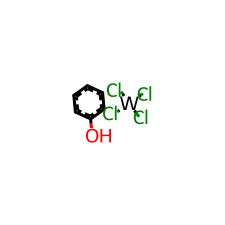 Oc1ccccc1.[Cl][W]([Cl])([Cl])[Cl]